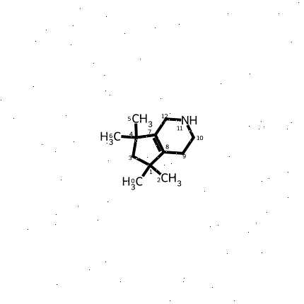 CC1(C)CC(C)(C)C2=C1CCNC2